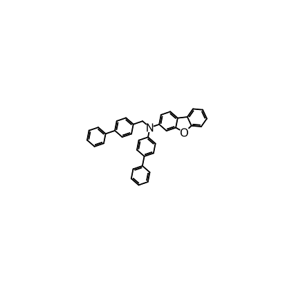 c1ccc(-c2ccc(CN(c3ccc(-c4ccccc4)cc3)c3ccc4c(c3)oc3ccccc34)cc2)cc1